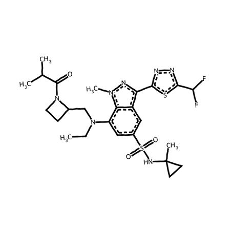 CCN(CC1CCN1C(=O)C(C)C)c1cc(S(=O)(=O)NC2(C)CC2)cc2c(-c3nnc(C(F)F)s3)nn(C)c12